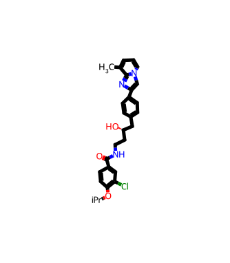 Cc1cccn2cc(-c3ccc(C[C@@H](O)CCNC(=O)c4ccc(OC(C)C)c(Cl)c4)cc3)nc12